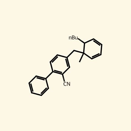 CCCCC1C=CC=CC1(C)Cc1ccc(-c2ccccc2)c(C#N)c1